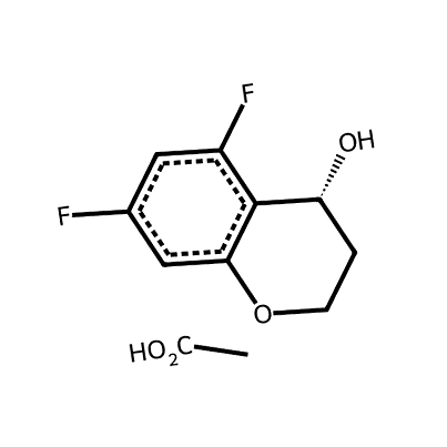 CC(=O)O.O[C@@H]1CCOc2cc(F)cc(F)c21